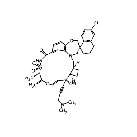 C=C1C/C=C/[C@@](O)(C#CCN(C)C)[C@@H]2CC[C@H]2CN2C[C@@]3(CCCc4cc(Cl)ccc43)COc3ccc(cc32)C(=O)NS(=O)(=O)[C@@H]1C